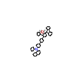 CC1(c2ccc(-c3ccc(-c4ccc(N(c5ccccc5)c5cccc6ccccc56)cc4)cc3)c3c2oc2ccccc23)c2ccccc2-c2ccccc21